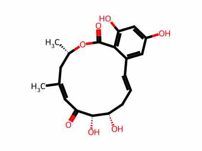 C/C1=C/C(=O)[C@@H](O)[C@@H](O)C/C=C/c2cc(O)cc(O)c2C(=O)O[C@@H](C)C1